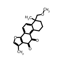 COCC1(C)CCCc2c1ccc1c2C(=O)C(=O)c2c(C)coc2-1